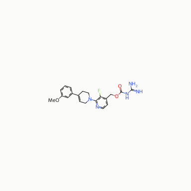 COc1cccc(C2=CCN(c3nccc(COC(=O)NC(=N)N)c3F)CC2)c1